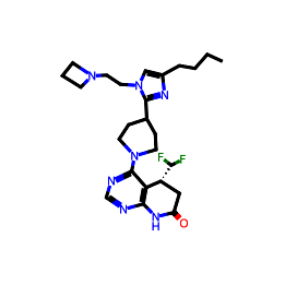 CCCCc1cn(CCN2CCC2)c(C2CCN(c3ncnc4c3[C@H](C(F)F)CC(=O)N4)CC2)n1